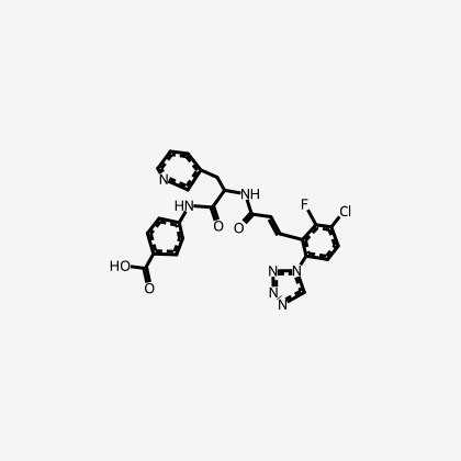 O=C(C=Cc1c(-n2cnnn2)ccc(Cl)c1F)NC(Cc1cccnc1)C(=O)Nc1ccc(C(=O)O)cc1